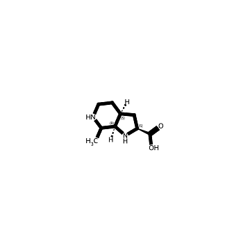 CC1NCC[C@H]2C[C@@H](C(=O)O)N[C@@H]12